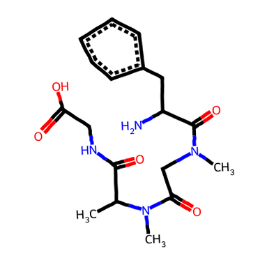 CC(C(=O)NCC(=O)O)N(C)C(=O)CN(C)C(=O)C(N)Cc1ccccc1